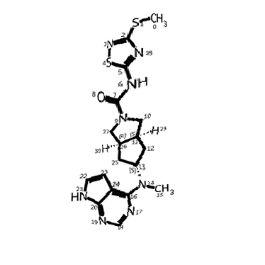 CSc1nsc(NC(=O)N2C[C@H]3C[C@H](N(C)c4ncnc5[nH]ccc45)C[C@H]3C2)n1